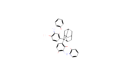 Nc1c(O)ccc(C2(c3ccc(O)c(N)c3Oc3ccccc3)C3CC4CC(C3)CC2C4)c1Oc1ccccc1